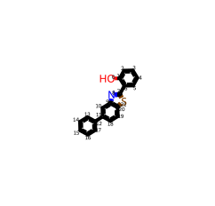 Oc1ccccc1-c1nc2cc(-c3ccccc3)ccc2s1